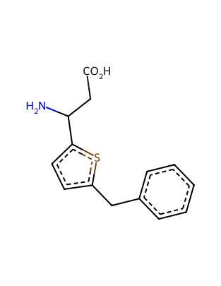 NC(CC(=O)O)c1ccc(Cc2ccccc2)s1